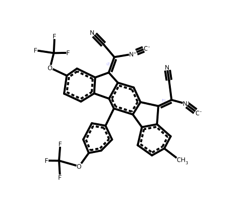 [C-]#[N+]/C(C#N)=C1/c2cc(OC(F)(F)F)ccc2-c2c1cc1c(c2-c2ccc(OC(F)(F)F)cc2)-c2ccc(C)cc2/C1=C(/C#N)[N+]#[C-]